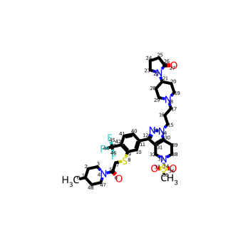 CC1CCN(C(=O)CSc2cc(-c3nn(CCCN4CCC(N5CCCC5=O)CC4)c4c3CN(S(C)(=O)=O)CC4)ccc2C(F)(F)F)CC1